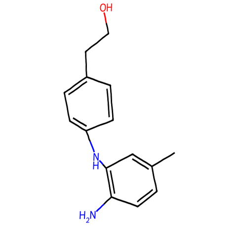 Cc1ccc(N)c(Nc2ccc(CCO)cc2)c1